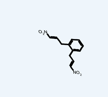 O=[N+]([O-])C=CCc1ccccc1CC=C[N+](=O)[O-]